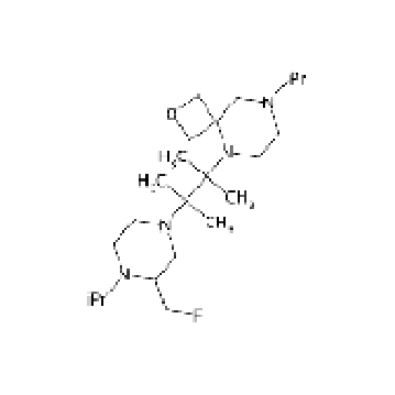 CC(C)N1CCN(C(C)(C)C(C)(C)N2CCN(C(C)C)C(CF)C2)C2(COC2)C1